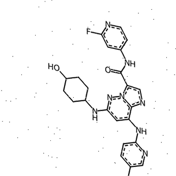 Cc1ccc(Nc2cc(NC3CCC(O)CC3)nn3c(C(=O)Nc4ccnc(F)c4)cnc23)nc1